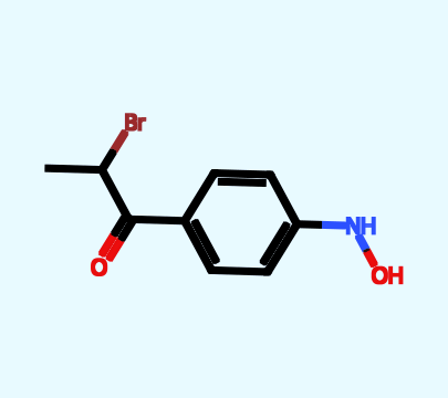 CC(Br)C(=O)c1ccc(NO)cc1